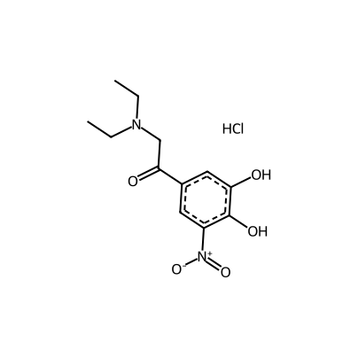 CCN(CC)CC(=O)c1cc(O)c(O)c([N+](=O)[O-])c1.Cl